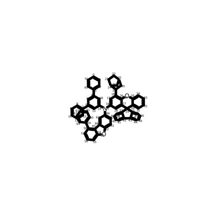 c1ccc(-c2cc(-c3ccccc3)cc(N(c3cc(C4CC5CCC4C5)c4c(c3)C3(c5ccccc5O4)c4ccccc4-c4ccccc43)c3ccc4oc5cccc(-c6ccccc6)c5c4c3)c2)cc1